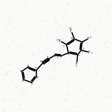 Fc1c(F)c(F)c(/C=C/C#Cc2ccccc2)c(F)c1F